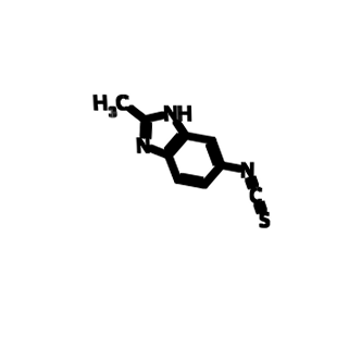 Cc1nc2ccc(N=C=S)cc2[nH]1